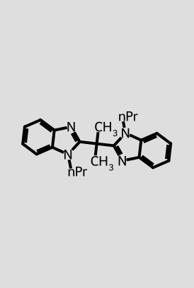 CCCn1c(C(C)(C)c2nc3ccccc3n2CCC)nc2ccccc21